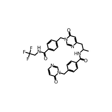 CC(Cc1cc(=O)n(Cc2ccc(C(=O)NCC(F)(F)F)cc2)cn1)NC(=O)c1ccc(Cn2cnccc2=O)cc1